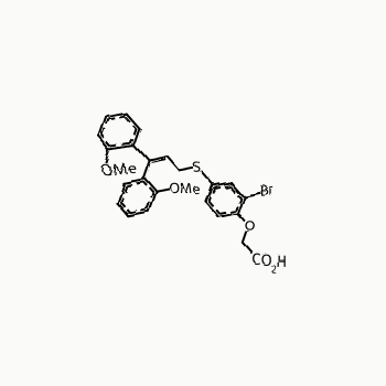 COc1ccccc1C(=CCSc1ccc(OCC(=O)O)c(Br)c1)c1ccccc1OC